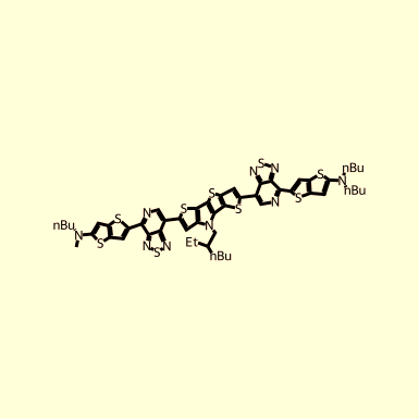 CCCCC(CC)Cn1c2cc(-c3cnc(-c4cc5sc(N(C)CCCC)cc5s4)c4nsnc34)sc2c2sc3cc(-c4cnc(-c5cc6sc(N(CCCC)CCCC)cc6s5)c5nsnc45)sc3c21